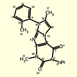 CCCn1c(=O)c2c(nc3n(-c4ccccc4C)c(C)cn23)n(C)c1=O